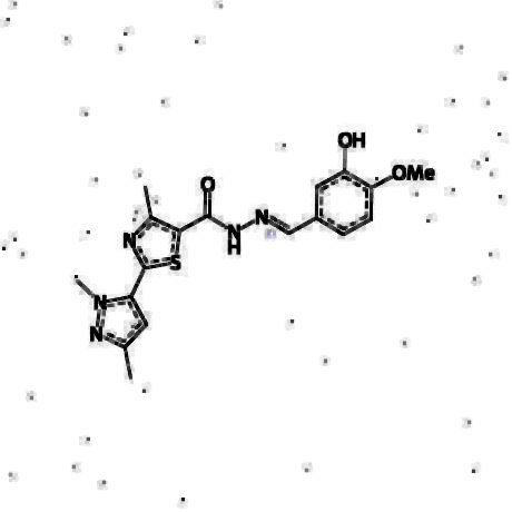 COc1ccc(/C=N/NC(=O)c2sc(-c3cc(C)nn3C)nc2C)cc1O